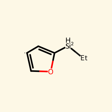 CC[SiH2]c1c[c]co1